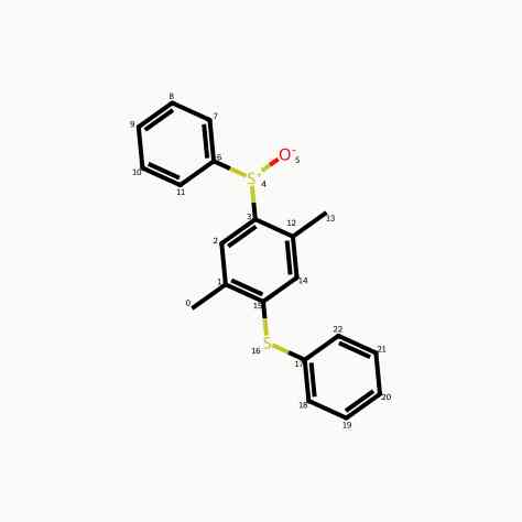 Cc1cc([S+]([O-])c2ccccc2)c(C)cc1Sc1ccccc1